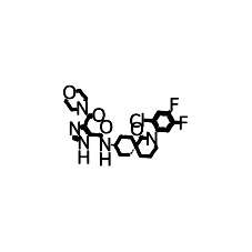 O=C(N[C@H]1CC[C@]2(CCCN(c3cc(F)c(F)cc3Cl)C2=O)CC1)c1[nH]cnc1C(=O)N1CCOCC1